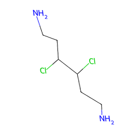 NCCC(Cl)C(Cl)CCN